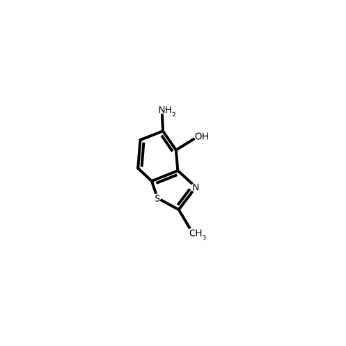 Cc1nc2c(O)c(N)ccc2s1